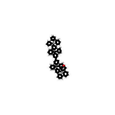 c1ccc([Si](c2ccccc2)(c2ccccc2)c2ccc([Si](c3ccccc3)(c3ccccc3)c3ccc(-c4ccc([Si](c5ccccc5)(c5ccccc5)c5cccc([Si](c6ccccc6)(c6ccccc6)c6ccccc6)c5)cc4)cc3)cc2)cc1